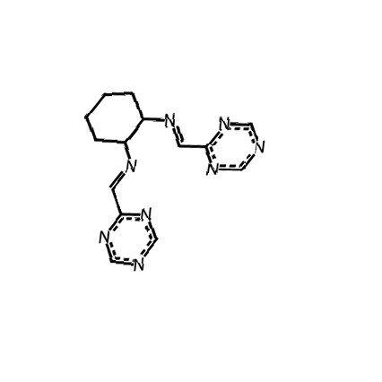 C(=NC1CCCCC1N=Cc1ncncn1)c1ncncn1